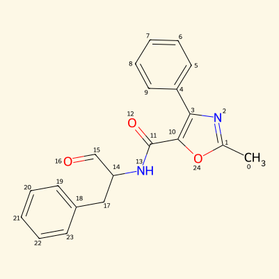 Cc1nc(-c2ccccc2)c(C(=O)NC(C=O)Cc2ccccc2)o1